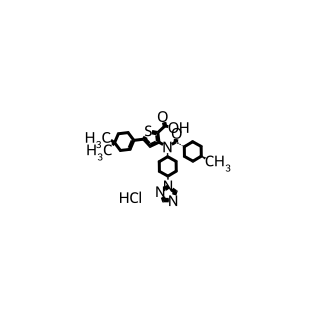 CC1(C)CC=C(c2cc(N(C(=O)[C@H]3CC[C@H](C)CC3)[C@H]3CC[C@@H](n4cncn4)CC3)c(C(=O)O)s2)CC1.Cl